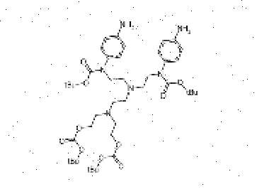 CC(C)(C)OC(=O)OCCN(CCOC(=O)OC(C)(C)C)CCN(CCN(C(=O)OC(C)(C)C)c1ccc(N)cc1)CCN(C(=O)OC(C)(C)C)c1ccc(N)cc1